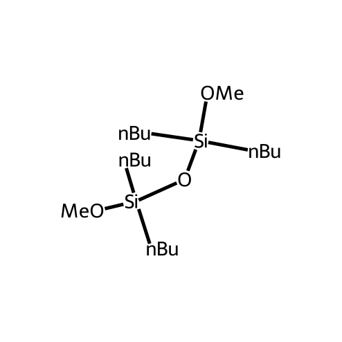 CCCC[Si](CCCC)(OC)O[Si](CCCC)(CCCC)OC